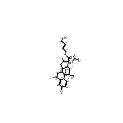 CCC(=O)O[C@]1(C(=O)SC/C=C/CO)[C@H](C)CC2C3C[C@H](F)C4=CC(=O)C=C[C@]4(C)[C@@]3(F)[C@@H](O)C[C@@]21C